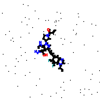 C=CC(=O)N1CC[C@H](n2nc(C#Cc3cc4ncn(CC)c4c(F)c3F)c(C(N)O)c2NC)C1